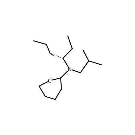 CCC[C@H](CC)N(CC(C)C)C1CCCCC1